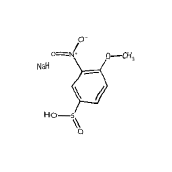 COc1ccc(S(=O)O)cc1[N+](=O)[O-].[NaH]